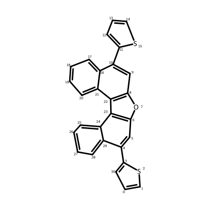 c1csc(-c2cc3oc4cc(-c5cccs5)c5ccccc5c4c3c3ccccc23)c1